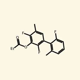 CCC(=O)Oc1c(F)c(C)cc(-c2c(C)cccc2F)c1F